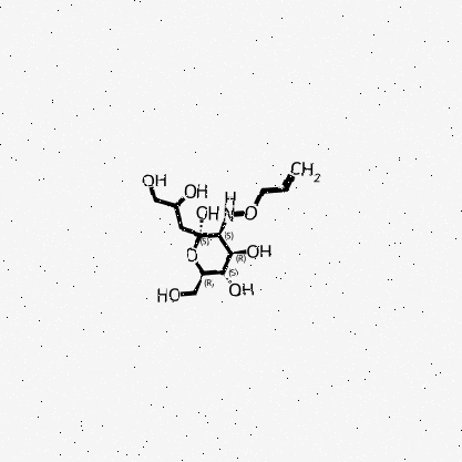 C=CCON[C@H]1[C@@H](O)[C@H](O)[C@@H](CO)O[C@@]1(O)CC(O)CO